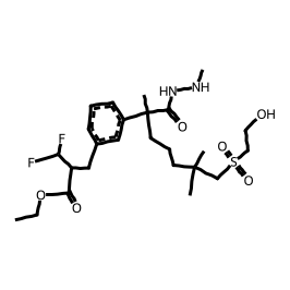 CCOC(=O)C(Cc1cccc(C(C)(CCCC(C)(C)CS(=O)(=O)CCO)C(=O)NNC)c1)C(F)F